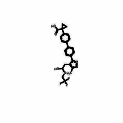 Cc1noc(-c2ccc(-c3ccc(C4(C(=O)O)CC4)cc3)cc2)c1CC(O)SCC(F)(F)F